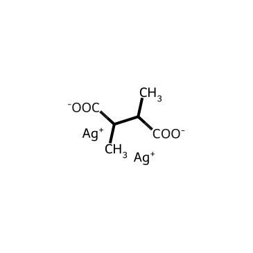 CC(C(=O)[O-])C(C)C(=O)[O-].[Ag+].[Ag+]